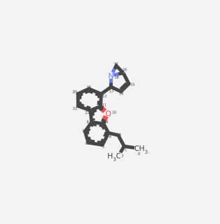 CC(C)Cc1cccc2c1oc1c(C3C=CC4CN43)cccc12